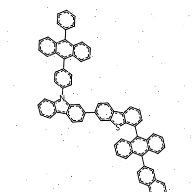 c1ccc(-c2c3ccccc3c(-c3ccc(-n4c5ccccc5c5ccc(-c6ccc7c(c6)sc6c(-c8c9ccccc9c(-c9ccc%10ccccc%10c9)c9ccccc89)cccc67)cc54)cc3)c3ccccc23)cc1